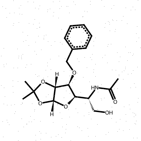 CC(=O)N[C@H](CO)[C@H]1O[C@@H]2OC(C)(C)O[C@@H]2[C@H]1OCc1ccccc1